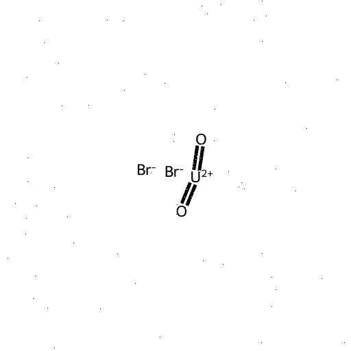 [Br-].[Br-].[O]=[U+2]=[O]